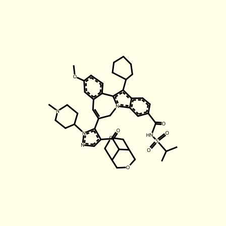 COc1ccc2c(c1)C=C(c1c(C(=O)C3C4COCC3COC4)cnn1C1CCN(C)CC1)Cn1c-2c(C2CCCCC2)c2ccc(C(=O)NS(=O)(=O)C(C)C)cc21